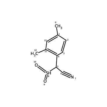 Cc1ccc(C(C#N)[SH](=O)=O)c(C)c1